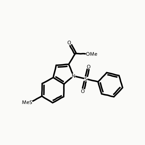 COC(=O)c1cc2cc(SC)ccc2n1S(=O)(=O)c1ccccc1